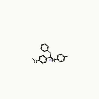 COc1ccc(/C(Cc2ccccc2)=N/c2ccc(C)cc2)cc1